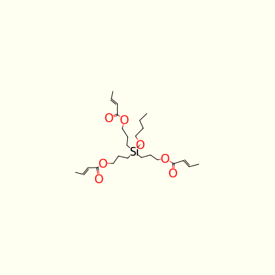 CC=CC(=O)OCCC[Si](CCCOC(=O)C=CC)(CCCOC(=O)C=CC)OCCCC